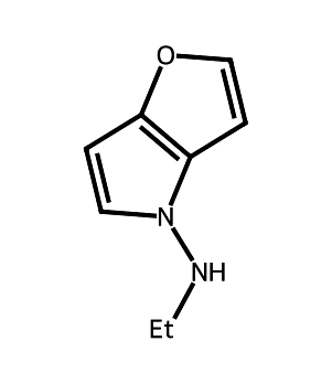 CCNn1ccc2occc21